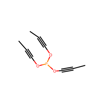 CC#COP(OC#CC)OC#CC